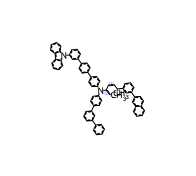 C/C=C(\C=C/C(C)c1cccc(-c2ccc3ccccc3c2)c1)N(c1ccc(-c2ccc(-c3cccc(-n4c5ccccc5c5ccccc54)c3)cc2)cc1)c1ccc(-c2cccc(-c3ccccc3)c2)cc1